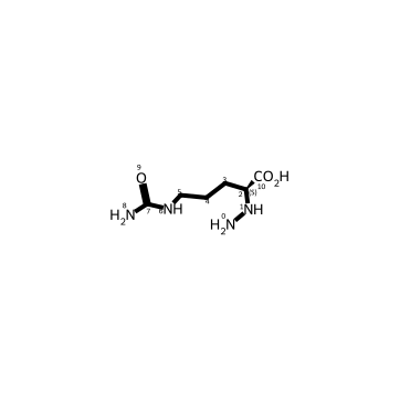 NN[C@@H](CCCNC(N)=O)C(=O)O